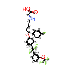 O=C(O)CNCCCC(Oc1ccc(C(F)(F)c2cccc(OC(F)(F)F)c2)cc1)c1ccc(F)cc1